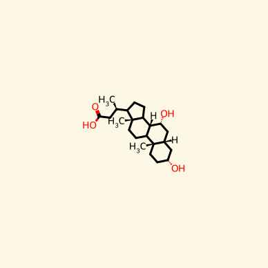 C[C@H](CC(=O)O)C1CCC2[C@H]3C(CC[C@@]21C)[C@@]1(C)CC[C@@H](O)C[C@H]1C[C@H]3O